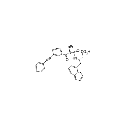 CCCN(C(=O)N[C@H](CC(=O)O)Cc1cccc2ccccc12)C(=O)c1cccc(C#Cc2ccccc2)c1